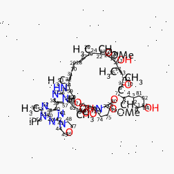 CO[C@@H]1C[C@@H](CC(C)[C@@H]2CC(=O)[C@H](C)/C=C(\C)[C@@H](O)[C@@H](OC)C(=O)[C@H](C)C[C@H](C)/C=C/C=C/C=C(/C)[C@@H](Nc3ncc(-c4nc(N5CCOCC5)nc5c4nc(C)n5C(C)C)cn3)C[C@@H]3CC[C@@H](C)[C@@](O)(O3)C(=O)C(=O)N3CCCCC3C(=O)O2)CC[C@H]1O